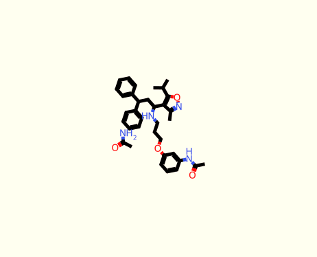 CC(=O)Nc1cccc(OCCCNC(CC(c2ccccc2)c2ccccc2)c2c(C)noc2C(C)C)c1.CC(N)=O